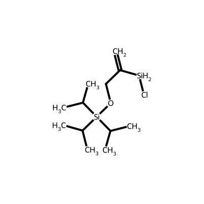 C=C(CO[Si](C(C)C)(C(C)C)C(C)C)[SiH2]Cl